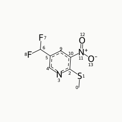 CSc1ncc(C(F)F)cc1[N+](=O)[O-]